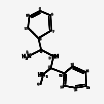 CNC(NC(N)C1C=CC=CC1)c1ccccc1